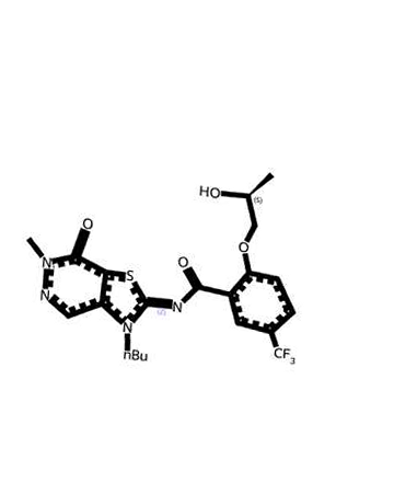 CCCCn1/c(=N/C(=O)c2cc(C(F)(F)F)ccc2OC[C@H](C)O)sc2c(=O)n(C)ncc21